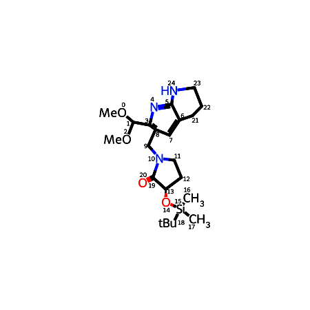 COC(OC)c1nc2c(cc1CN1CC[C@@H](O[Si](C)(C)C(C)(C)C)C1=O)CCCN2